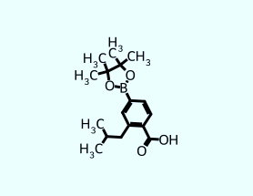 CC(C)Cc1cc(B2OC(C)(C)C(C)(C)O2)ccc1C(=O)O